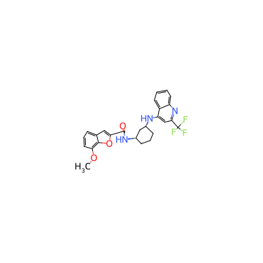 COc1cccc2cc(C(=O)N[C@@H]3CCC[C@H](Nc4cc(C(F)(F)F)nc5ccccc45)C3)oc12